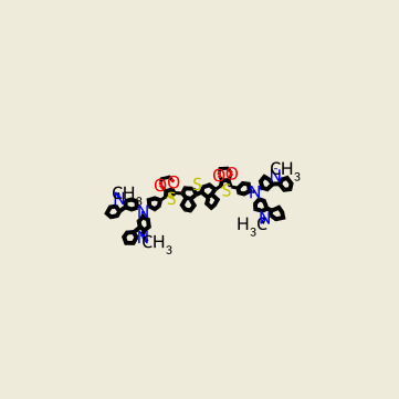 Cn1c2ccccc2c2cc(N(c3ccc(-c4sc(-c5cc6sc7cc(-c8sc(-c9ccc(N(c%10ccc%11c(c%10)c%10ccccc%10n%11C)c%10ccc%11c(c%10)c%10ccccc%10n%11C)cc9)c9c8OCCO9)c8ccccc8c7c6c6ccccc56)c5c4OCCO5)cc3)c3ccc4c(c3)c3ccccc3n4C)ccc21